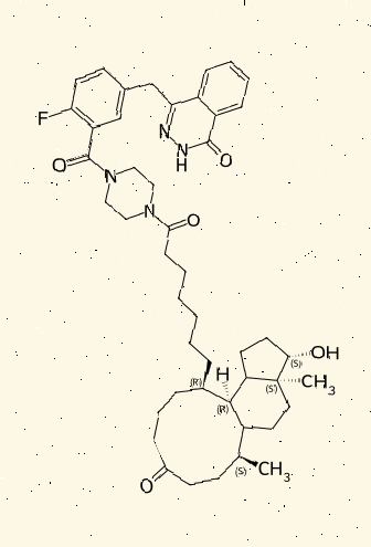 C[C@H]1CCC(=O)CCC[C@@H](CCCCCCC(=O)N2CCN(C(=O)c3cc(Cc4n[nH]c(=O)c5ccccc45)ccc3F)CC2)[C@@H]2C1CC[C@@]1(C)C2CC[C@@H]1O